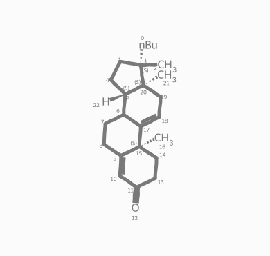 CCCC[C@@]1(C)CC[C@H]2C3CCC4=CC(=O)CC[C@]4(C)C3=CC[C@@]21C